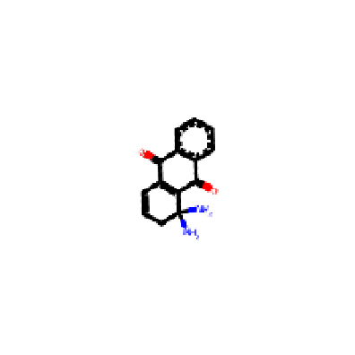 NC1(N)CC=CC2=C1C(=O)c1ccccc1C2=O